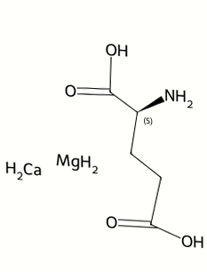 N[C@@H](CCC(=O)O)C(=O)O.[CaH2].[MgH2]